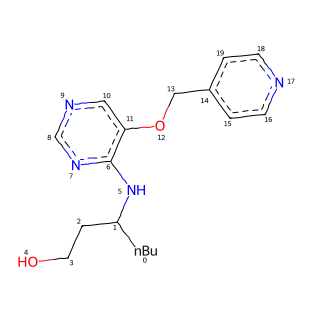 CCCCC(CCO)Nc1ncncc1OCc1ccncc1